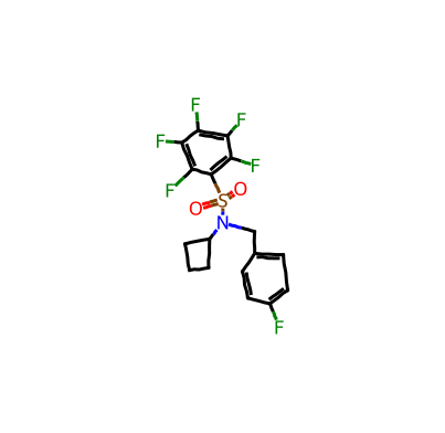 O=S(=O)(c1c(F)c(F)c(F)c(F)c1F)N(Cc1ccc(F)cc1)C1CCC1